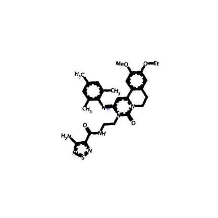 CCOc1cc2c(cc1OC)-c1c/c(=N\c3c(C)cc(C)cc3C)n(CCNC(=O)c3nsnc3N)c(=O)n1CC2